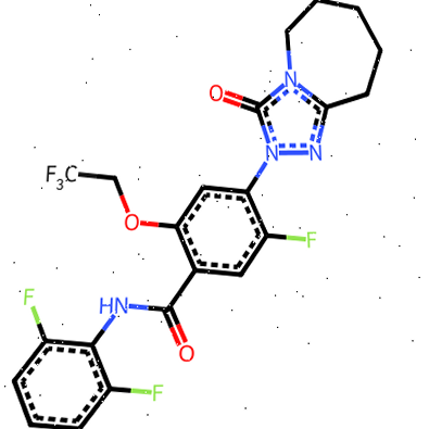 O=C(Nc1c(F)cccc1F)c1cc(F)c(-n2nc3n(c2=O)CCCCC3)cc1OCC(F)(F)F